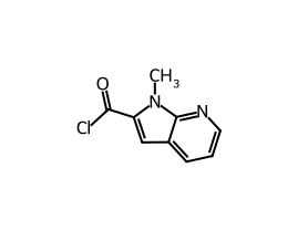 Cn1c(C(=O)Cl)cc2cccnc21